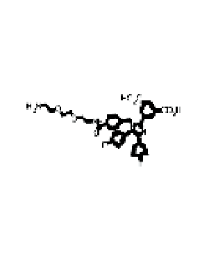 NCCOCCOCCNC(=O)c1ccc(Cn2c(-c3cc(C(=O)O)cc(C(=O)O)c3)nc(-c3ccc(F)cc3)c2-c2ccc(F)cc2)cc1